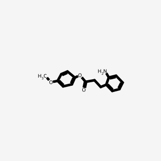 COc1ccc(OC(=O)CCc2ccccc2N)cc1